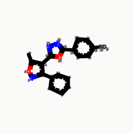 Cc1onc(-c2ccccc2)c1-c1nnc(-c2ccc([N+](=O)[O-])cc2)o1